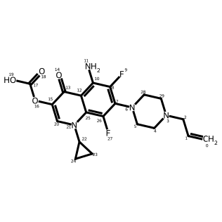 C=CCN1CCN(c2c(F)c(N)c3c(=O)c(OC(=O)O)cn(C4CC4)c3c2F)CC1